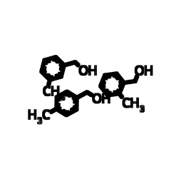 Cc1ccc(CO)cc1.Cc1cccc(CO)c1.Cc1ccccc1CO